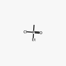 CCP(C)(=O)Cl